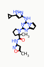 Cc1cc(NC(=O)[C@]2(C)CCCN2c2nc(Nc3cc(C4CC4)[nH]n3)n3cccc3n2)no1